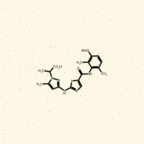 COc1ccc(C)c(NC(=O)c2cnc(Nc3cc(C)n(C(C)C(=O)O)n3)s2)c1C